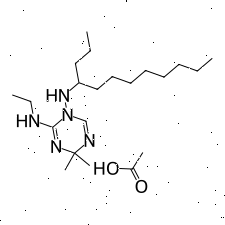 CC(=O)O.CCCCCCCCC(CCC)NN1C=NC(C)(C)N=C1NCC